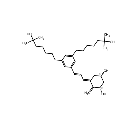 C=C1C(=CC=Cc2cc(CCCCCC(C)(C)O)cc(CCCCCC(C)(C)O)c2)C[C@@H](O)C[C@@H]1O